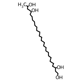 CC(O)CC(O)CCCCCCCCCCCCCCCCCCCCCC(O)CCO